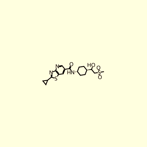 CS(=O)(=O)CC(O)[C@H]1CC[C@H](NC(=O)c2cnc3nc(C4CC4)sc3c2)CC1